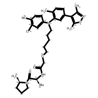 Cc1ccc(-c2c(C)noc2C)cc1N(CCCCCOCC(=O)N[C@H](C(=O)N1CCC[C@H]1C)C(C)(C)C)c1ccc(C#N)c(Cl)c1